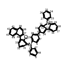 c1ccc(N(c2ccc(-c3ccc4c(c3)c3ccccc3n4-c3ccccc3)cc2)c2cccc3c2oc2ccc4ccccc4c23)cc1